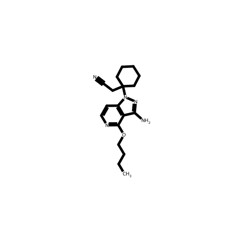 CCCCOc1nccc2c1c(N)nn2C1(CC#N)CCCCC1